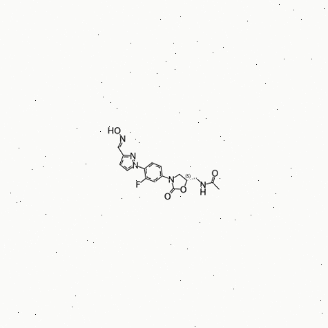 CC(=O)NC[C@H]1CN(c2ccc(-n3ccc(C=NO)n3)c(F)c2)C(=O)O1